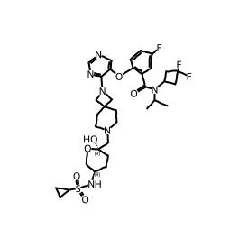 CC(C)N(C(=O)c1cc(F)ccc1Oc1cncnc1N1CC2(CCN(C[C@@]3(O)CC[C@@H](NS(=O)(=O)C4CC4)CO3)CC2)C1)C1CC(F)(F)C1